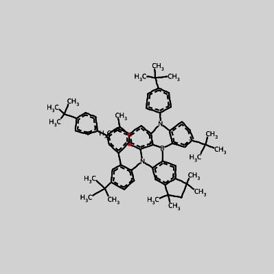 CC(C)c1cc2c3c(c1)N(c1ccc(C(C)(C)C)cc1-c1cccc(-c4ccc(C(C)(C)C)cc4)c1)c1cc4c(cc1B3c1cc(C(C)(C)C)ccc1N2c1ccc(C(C)(C)C)cc1)C(C)(C)CC4(C)C